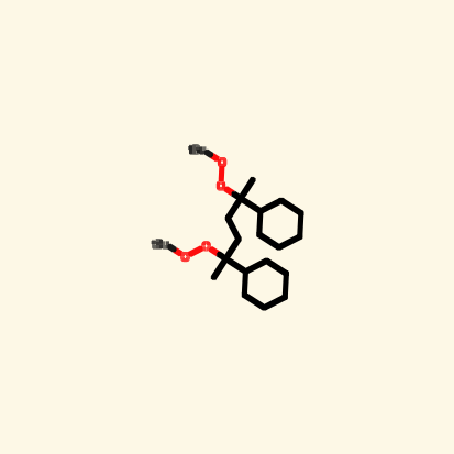 CC(C)(C)OOC(C)(CCC(C)(OOC(C)(C)C)C1CCCCC1)C1CCCCC1